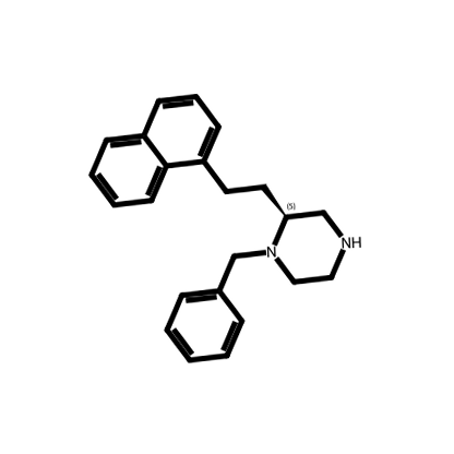 c1ccc(CN2CCNC[C@@H]2CCc2cccc3ccccc23)cc1